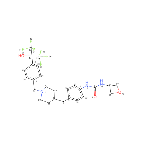 O=C(Nc1ccc(CC2CCN(Cc3ccc(C(O)(C(F)(F)F)C(F)(F)F)cc3)CC2)cc1)NC1COC1